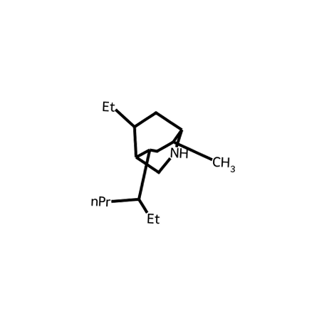 CCCC(CC)C1CC(C)C2CC(CC)C1CN2